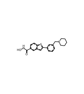 O=C(NO)c1ccc2sc(-c3cccc(CN4CCCCC4)c3)cc2c1